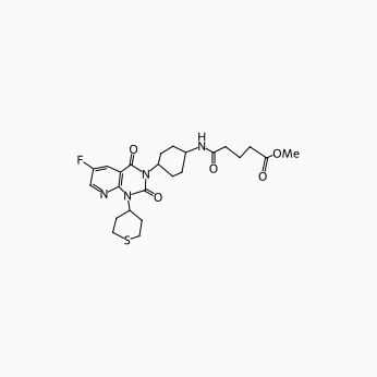 COC(=O)CCCC(=O)NC1CCC(n2c(=O)c3cc(F)cnc3n(C3CCSCC3)c2=O)CC1